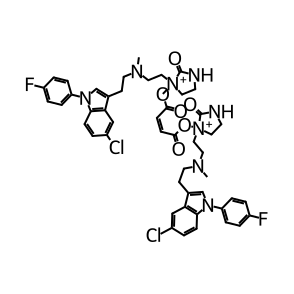 CN(CCc1cn(-c2ccc(F)cc2)c2ccc(Cl)cc12)CC[N+]1(OC(=O)/C=C\C(=O)O[N+]2(CCN(C)CCc3cn(-c4ccc(F)cc4)c4ccc(Cl)cc34)CCNC2=O)CCNC1=O